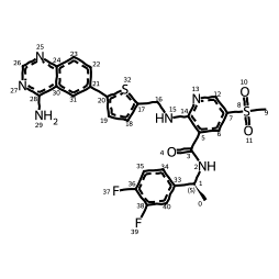 C[C@H](NC(=O)c1cc(S(C)(=O)=O)cnc1NCc1ccc(-c2ccc3ncnc(N)c3c2)s1)c1ccc(F)c(F)c1